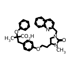 CN1C(=O)N(Cc2ccc3ccccc3n2)CC1CCOc1ccc(CC(C)(Oc2ccccc2)C(=O)O)cc1